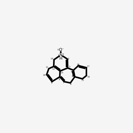 [O-][NH+]1C=C2C3=C(CC=C4C=CCC(=C42)C1)CCC=C3